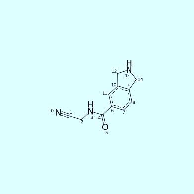 N#CCNC(=O)c1ccc2c(c1)CNC2